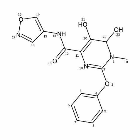 CN1C(Oc2ccccc2)=NC(C(=O)Nc2cnoc2)=C(O)C1O